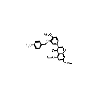 COc1cc(OC)c2c(=O)c(-c3ccc(OC)c(OCc4ccc(C(F)(F)F)cc4)c3)coc2c1